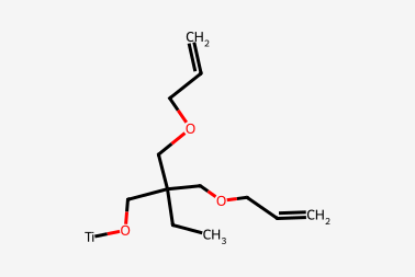 C=CCOCC(CC)(C[O][Ti])COCC=C